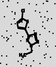 CCn1nnc(-c2ccc(Cl)s2)n1